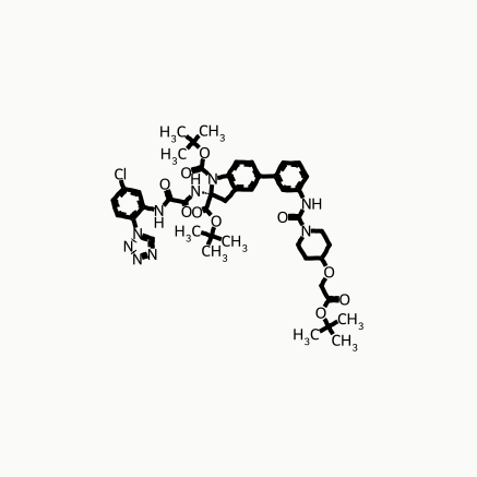 CC(C)(C)OC(=O)COC1CCN(C(=O)Nc2cccc(-c3ccc4c(c3)C[C@@](NC(=O)C(=O)Nc3cc(Cl)ccc3-n3cnnn3)(C(=O)OC(C)(C)C)N4C(=O)OC(C)(C)C)c2)CC1